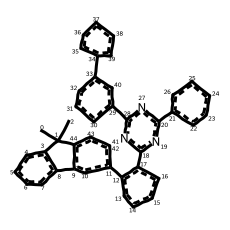 CC1(C)c2ccccc2-c2cc(-c3ccccc3-c3nc(-c4ccccc4)nc(-c4cccc(-c5ccccc5)c4)n3)ccc21